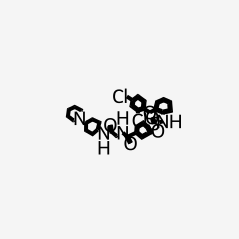 O=C(CNC(=O)c1ccc(S(=O)(=O)Nc2ccccc2Oc2ccc(Cl)cc2Cl)cc1)NC1CCC(N2CCCCC2)CC1